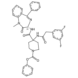 CN1C(=O)[C@@H](NC(=O)C2(NC(=O)Cc3cc(F)cc(F)c3)CCN(C(=O)Oc3ccccc3)CC2)N=C(c2ccccc2)c2ccccc21